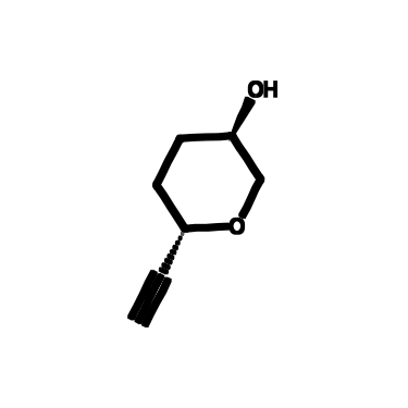 C#C[C@@H]1CC[C@@H](O)CO1